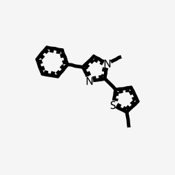 Cc1ccc(-c2nc(-c3ccccc3)cn2C)s1